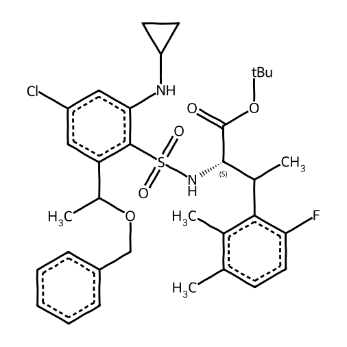 Cc1ccc(F)c(C(C)[C@H](NS(=O)(=O)c2c(NC3CC3)cc(Cl)cc2C(C)OCc2ccccc2)C(=O)OC(C)(C)C)c1C